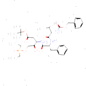 CCP(=O)(CC)OCC(=O)C(CC(=O)OC(C)(C)C)NC(=O)[C@H](Cc1ccccc1)NC(=O)[C@@H](NC(=O)OCc1ccccc1)C(C)C